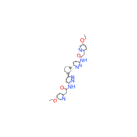 CCOc1ccc(CC(=O)Nc2ccc([C@H]3CCC[C@H](c4ccc(NC(=O)Cc5ccc(OCC)cn5)nn4)C3)nn2)nc1